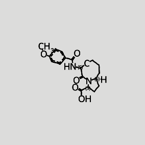 COc1ccc(C(=O)N[C@H]2CCCC[C@H]3CC[C@@H](C(=O)O)N3C2=O)cc1